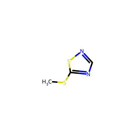 CSc1ncns1